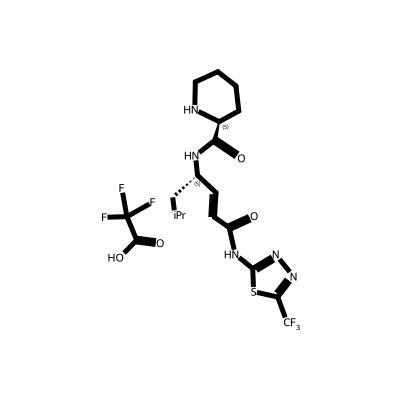 CC(C)C[C@@H](C=CC(=O)Nc1nnc(C(F)(F)F)s1)NC(=O)[C@@H]1CCCCN1.O=C(O)C(F)(F)F